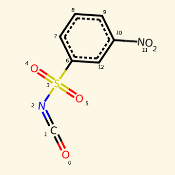 O=C=NS(=O)(=O)c1cccc([N+](=O)[O-])c1